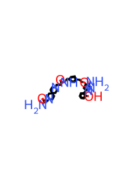 NC(=O)CN1CCC2(CCN(CCC(=O)NCc3ccc(CCOc4cc(-c5ccccc5O)nnc4N)cc3)CC2)CC1